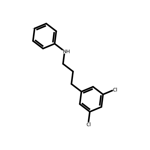 Clc1cc(Cl)cc(CCCNc2cc[c]cc2)c1